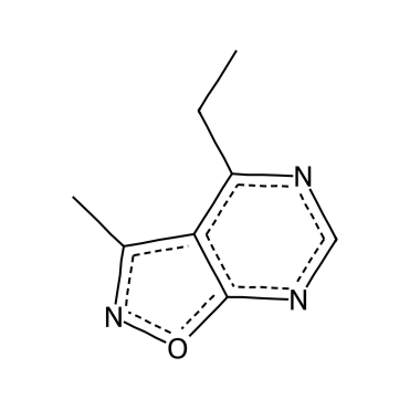 CCc1ncnc2onc(C)c12